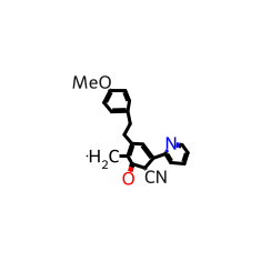 [CH2]C1=C(CCc2ccc(OC)cc2)C=C(c2ccccn2)C(C#N)C1=O